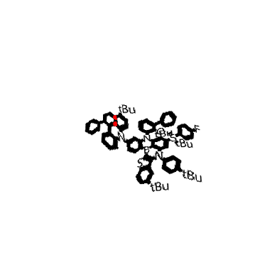 CC(C)(C)c1ccc(N(c2ccc3c(c2)N(c2cccc4c2oc2ccccc24)c2cc(S(c4ccc(F)cc4)(C(C)(C)C)C(C)(C)C)cc4c2B3c2sc3ccc(C(C)(C)C)cc3c2N4c2ccc(C(C)(C)C)cc2)c2ccccc2-c2ccccc2-c2ccccc2)cc1